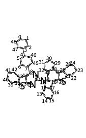 c1ccc(-c2ccc(-c3nc(-n4c5ccccc5c5c6sc7ccccc7c6c6ccccc6c54)nc4sc5ccccc5c34)cc2)cc1